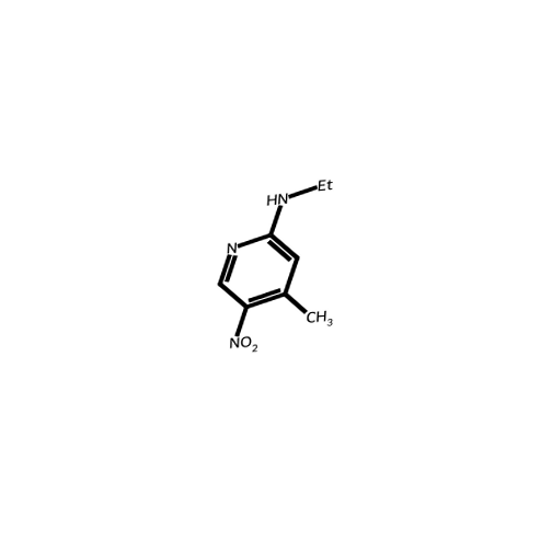 [CH2]CNc1cc(C)c([N+](=O)[O-])cn1